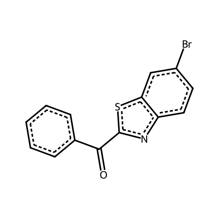 O=C(c1ccccc1)c1nc2ccc(Br)cc2s1